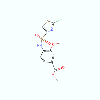 COC(=O)c1ccc(NS(=O)(=O)c2csc(Br)n2)c(OC)c1